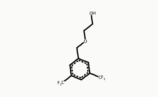 OCCOCc1cc(C(F)(F)F)cc(C(F)(F)F)c1